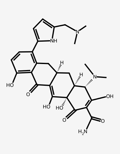 CN(C)Cc1ccc(-c2ccc(O)c3c2C[C@H]2C[C@H]4[C@H](N(C)C)C(O)=C(C(N)=O)C(=O)[C@@]4(O)C(O)=C2C3=O)[nH]1